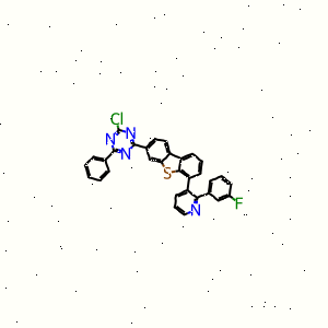 Fc1cccc(-c2ncccc2-c2cccc3c2sc2cc(-c4nc(Cl)nc(-c5ccccc5)n4)ccc23)c1